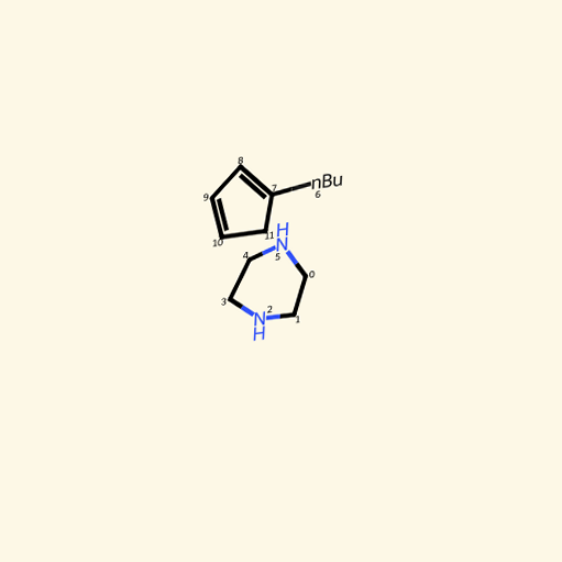 C1CNCCN1.CCCCC1=CC=CC1